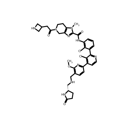 COc1nc(-c2ccnc(-c3cccc(NC(=O)c4nc5c(n4C)CCN(C(=O)CC4CNC4)C5)c3Cl)c2Cl)ccc1CNC[C@@H]1CCC(=O)N1